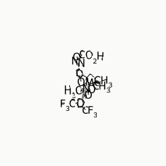 COc1ccc(-c2noc(C(=O)O)n2)cc1C1=C(CN2C(=O)O[C@H](c3cc(C(F)(F)F)cc(C(F)(F)F)c3)[C@@H]2C)CC(C)(C)CC1